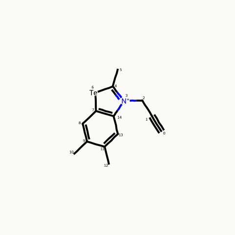 C#CC[n+]1c(C)[te]c2cc(C)c(C)cc21